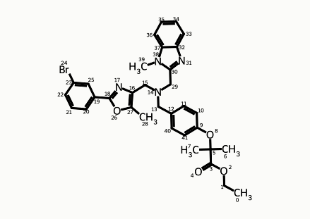 CCOC(=O)C(C)(C)Oc1ccc(CN(Cc2nc(-c3cccc(Br)c3)oc2C)Cc2nc3ccccc3n2C)cc1